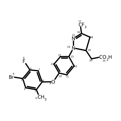 Cc1cc(Br)c(F)cc1Oc1ccc(N2N=C(C(F)(F)F)CC2CC(=O)O)cc1